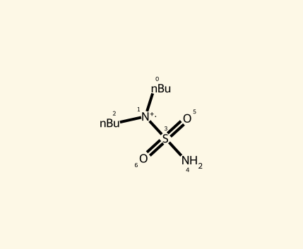 CCCC[N+](CCCC)S(N)(=O)=O